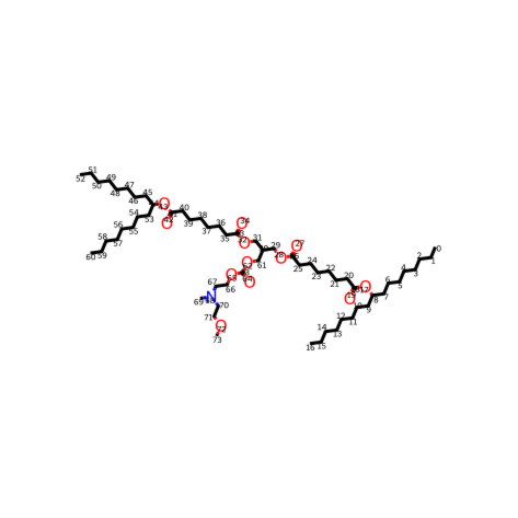 CCCCCCCCC(CCCCCCCC)OC(=O)CCCCCCC(=O)OCC(COC(=O)CCCCCCC(=O)OC(CCCCCCCC)CCCCCCCC)COC(=O)OCCN(C)CCOC